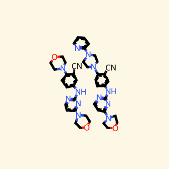 N#Cc1cc(Nc2nccc(N3CCOCC3)n2)ccc1N1CCN(c2ccccn2)CC1.N#Cc1cc(Nc2nccc(N3CCOCC3)n2)ccc1N1CCOCC1